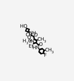 CCc1c(C(=O)Nc2ccc(F)c(C)c2)c(C)c(C(=O)C(=O)NC2(C)CC(O)C2)n1C